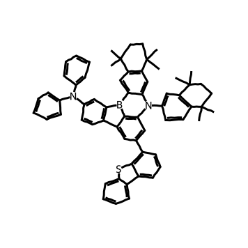 CC1(C)CCC(C)(C)c2cc(N3c4cc5c(cc4B4c6cc(N(c7ccccc7)c7ccccc7)ccc6-c6cc(-c7cccc8c7sc7ccccc78)cc3c64)C(C)(C)CCC5(C)C)ccc21